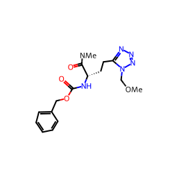 CNC(=O)[C@H](CCc1nnnn1COC)NC(=O)OCc1ccccc1